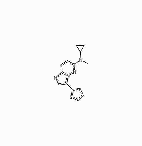 CN(c1ccc2ncc(-c3cccs3)n2n1)C1CC1